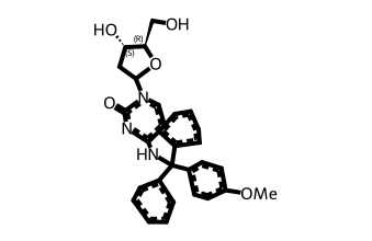 COc1ccc(C(Nc2ccn(C3C[C@H](O)[C@@H](CO)O3)c(=O)n2)(c2ccccc2)c2ccccc2)cc1